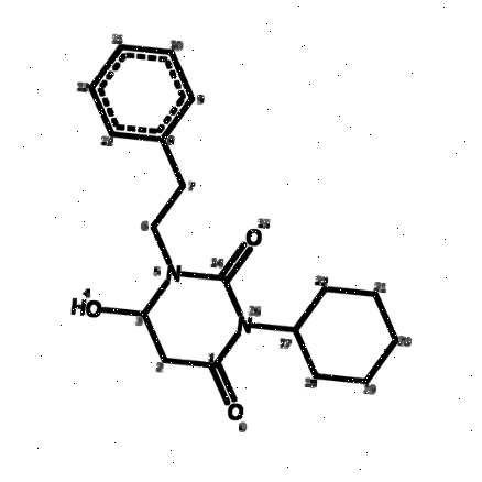 O=C1CC(O)N(CCc2ccccc2)C(=O)N1C1CCCCC1